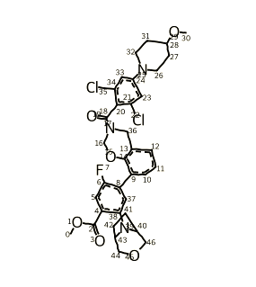 COC(=O)c1cc(F)c(-c2cccc3c2OCN(C(=O)c2c(Cl)cc(N4CCC(OC)CC4)cc2Cl)C3)cc1N1C2CCC1COC2